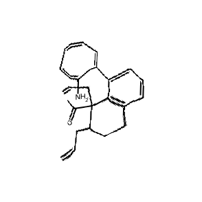 C=CCC1CCc2cccc(-c3ccccc3N)c2C1(CC=C)C(C)=O